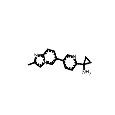 Cc1cn2cc(-c3ccc(C4(N)CC4)nc3)ccc2n1